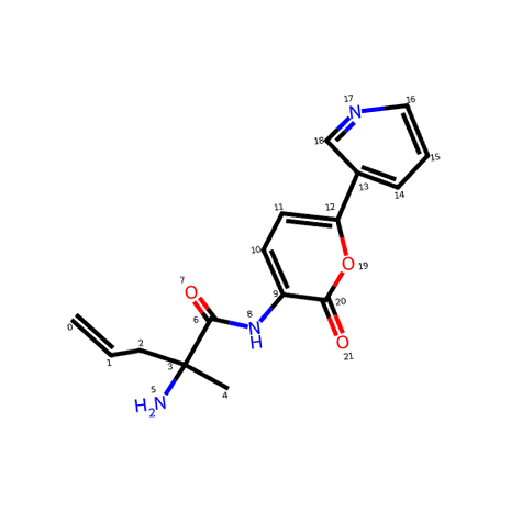 C=CCC(C)(N)C(=O)Nc1ccc(-c2cccnc2)oc1=O